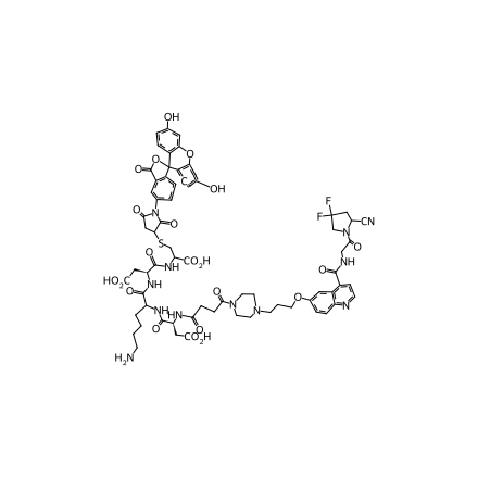 N#CC1CC(F)(F)CN1C(=O)CNC(=O)c1ccnc2ccc(OCCCN3CCN(C(=O)CCC(=O)N[C@@H](CC(=O)O)C(=O)NC(CCCCN)C(=O)N[C@@H](CC(=O)O)C(=O)NC(CSC4CC(=O)N(c5ccc6c(c5)C(=O)OC65c6ccc(O)cc6Oc6cc(O)ccc65)C4=O)C(=O)O)CC3)cc12